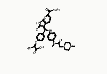 COC(=O)c1ccc2c(c1)NC(=O)C2=C(Nc1ccc(N(C)C(=O)CN2CCN(C)CC2)cc1)c1ccccc1.O=C(O)C(=O)O